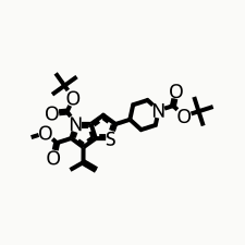 C=C(C)c1c(C(=O)OC)n(C(=O)OC(C)(C)C)c2cc(C3CCN(C(=O)OC(C)(C)C)CC3)sc12